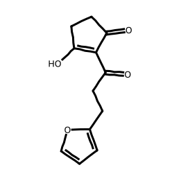 O=C1CCC(O)=C1C(=O)CCc1ccco1